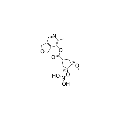 CO[C@H]1CC(C(=O)Oc2c(C)ncc3c2COC3)C[C@@H]1ON(O)O